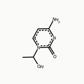 CC(O)n1ccc(N)nc1=O